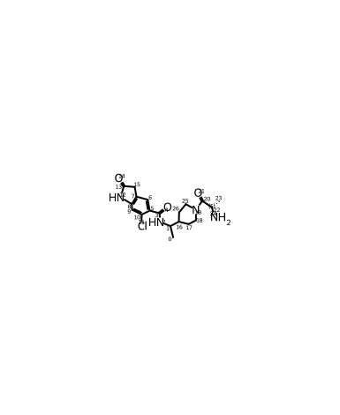 CC(NC(=O)c1cc2c(cc1Cl)NC(=O)C2)C1CCN(C(=O)[C@H](C)N)CC1